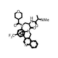 CNC(C)C(=O)NC1CN(C(=O)C2CCOCC2)c2cc(C(F)(F)F)ccc2N(Cc2c(C3CC3)cnc3ccccc23)C1=O